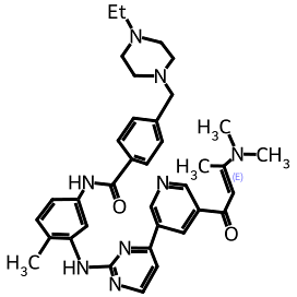 CCN1CCN(Cc2ccc(C(=O)Nc3ccc(C)c(Nc4nccc(-c5cncc(C(=O)/C=C(\C)N(C)C)c5)n4)c3)cc2)CC1